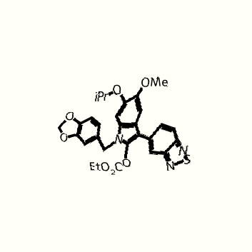 CCOC(=O)Oc1c(-c2ccc3nsnc3c2)c2cc(OC)c(OC(C)C)cc2n1Cc1ccc2c(c1)OCO2